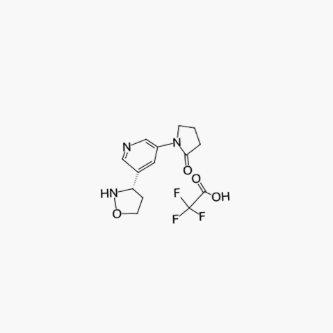 O=C(O)C(F)(F)F.O=C1CCCN1c1cncc([C@@H]2CCON2)c1